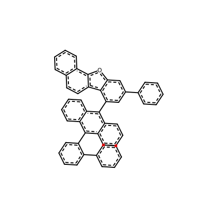 c1ccc(-c2cc(-c3c4ccccc4c(-c4ccccc4-c4ccccc4)c4ccccc34)c3c(c2)oc2c4ccccc4ccc23)cc1